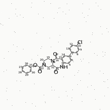 O=C1Nc2ccc(-c3ccc(Cl)cc3)cc2C(=O)N2CCN(C(=O)Oc3ccccc3)CC12